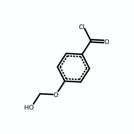 O=C(Cl)c1ccc(OCO)cc1